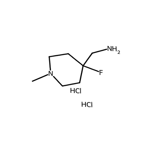 CN1CCC(F)(CN)CC1.Cl.Cl